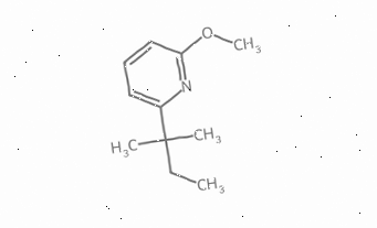 CCC(C)(C)c1cccc(OC)n1